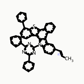 C/C=C/c1ccc2c(c1)c1c3ccccc3c3sc4c(-c5ccccc5)cccc4c3c1n2-c1nc(-c2ccccc2)nc(-c2ccccc2)n1